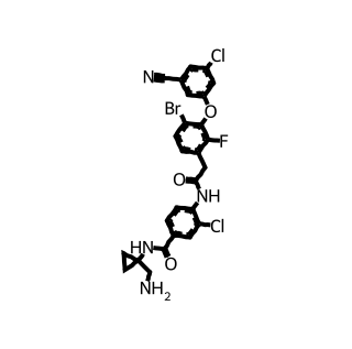 N#Cc1cc(Cl)cc(Oc2c(Br)ccc(CC(=O)Nc3ccc(C(=O)NC4(CN)CC4)cc3Cl)c2F)c1